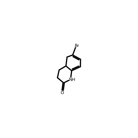 O=C1CCC2CC(Br)=CC=C2N1